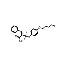 O=C(O)/C(=C\c1ccccc1)C(F)(F)Oc1ccc(OCCCCF)cc1